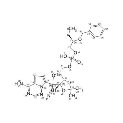 CC[C@H](COP(=O)(O)OC[C@H]1O[C@@](C#N)(c2ccc3c(N)ncnn23)[C@H]2OC(C)(C)OC12)OCc1ccccc1